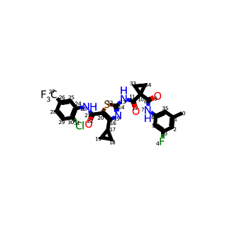 Cc1cc(F)cc(NC(=O)C2(C(=O)Nc3nc(C4CC4)c(C(=O)Nc4cc(C(F)(F)F)ccc4Cl)s3)CC2)c1